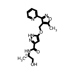 Cc1onc(-c2ccccn2)c1COc1cc(C(=O)N[C@@H](C)CO)n[nH]1